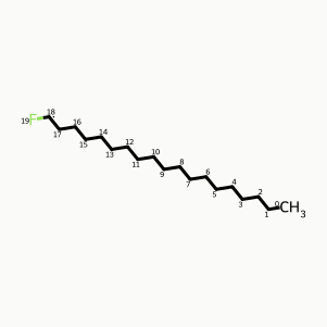 CCCCCCCCCCCCCCCCCC[CH]F